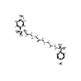 Cc1ccc(S(=O)(=O)SCCCCCCCCCCSS(=O)(=O)c2ccc(C)cc2)cc1